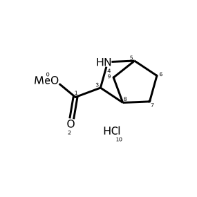 COC(=O)C1NC2CCC1C2.Cl